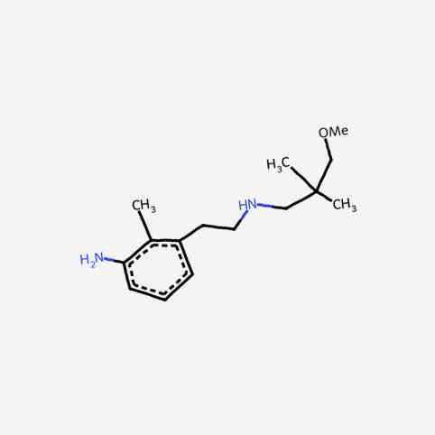 COCC(C)(C)CNCCc1cccc(N)c1C